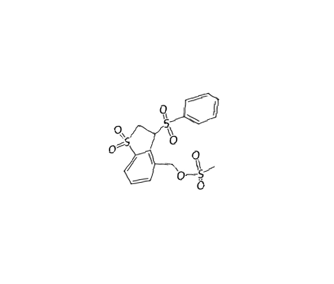 CS(=O)(=O)OCc1cccc2c1C(S(=O)(=O)c1ccccc1)CS2(=O)=O